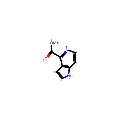 COC(=O)c1nccc2[nH]ccc12